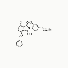 CCOC(=O)Cc1ccc(N2C(=O)c3c(Cl)ccc(OCc4ccccc4)c3C2O)c(Cl)c1